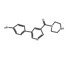 CCCc1ccc(-c2cncc(C(=O)N3CCNCC3)c2)cc1